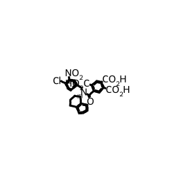 O=C(O)c1cc(C(=O)O)c(C(=O)N(Cc2ccc(Cl)c([N+](=O)[O-])c2)[C@H]2CCCc3ccccc32)cc1C(=O)O